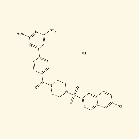 Cl.Nc1cc(-c2ccc(C(=O)N3CCN(S(=O)(=O)c4ccc5cc(Cl)ccc5c4)CC3)cc2)nc(N)n1